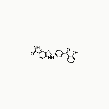 COc1ccccc1C(=O)c1ccc(-c2nc3cc(C(N)=O)ccc3[nH]2)cc1